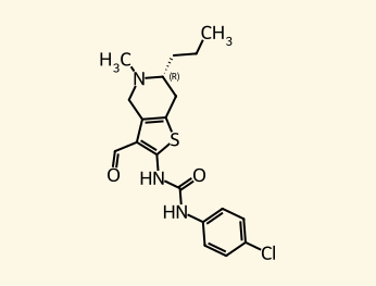 CCC[C@@H]1Cc2sc(NC(=O)Nc3ccc(Cl)cc3)c(C=O)c2CN1C